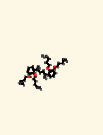 CCCCOc1cccc([SiH2]CC[SiH2]c2cccc(OCCCC)c2OCCCC)c1OCCCC